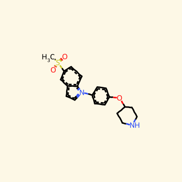 CS(=O)(=O)c1ccc2c(ccn2-c2ccc(OC3CCNCC3)cc2)c1